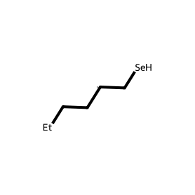 CCCC[CH]C[SeH]